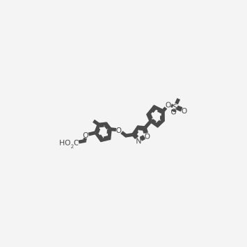 Cc1cc(OCc2cc(-c3ccc(OS(C)(=O)=O)cc3)on2)ccc1OCC(=O)O